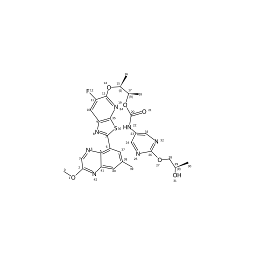 COc1cnc2c(-c3nc4cc(F)c(O[C@@H](C)[C@@H](C)OC(=O)Nc5cnc(OC[C@@H](C)O)nc5)nc4s3)cc(C)cc2n1